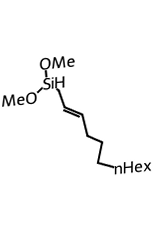 CCCCCCCCCC=CC[SiH](OC)OC